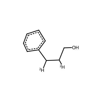 [2H]C(CO)C([2H])c1ccccc1